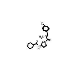 N[C@H](Cc1ccc(Cl)cc1)C(=O)N1CC[C@H](NC(=O)C2CCCCC2)C1